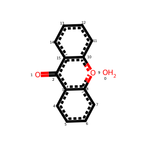 O.O=c1c2ccccc2oc2ccccc12